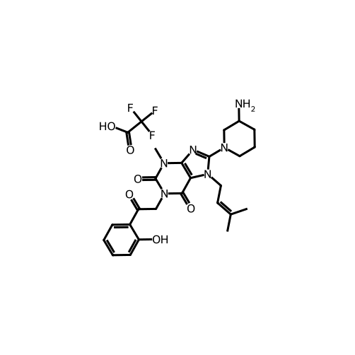 CC(C)=CCn1c(N2CCCC(N)C2)nc2c1c(=O)n(CC(=O)c1ccccc1O)c(=O)n2C.O=C(O)C(F)(F)F